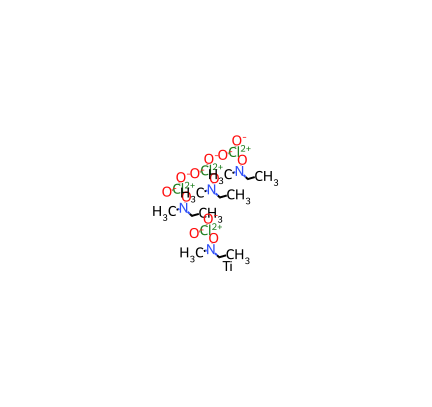 CCN(C)O[Cl+2]([O-])[O-].CCN(C)O[Cl+2]([O-])[O-].CCN(C)O[Cl+2]([O-])[O-].CCN(C)O[Cl+2]([O-])[O-].[Ti]